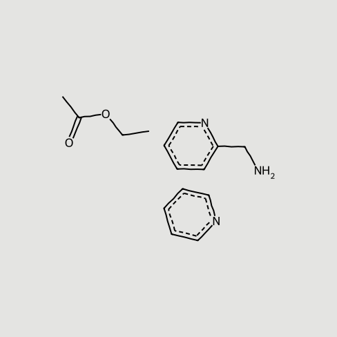 CCOC(C)=O.NCc1ccccn1.c1ccncc1